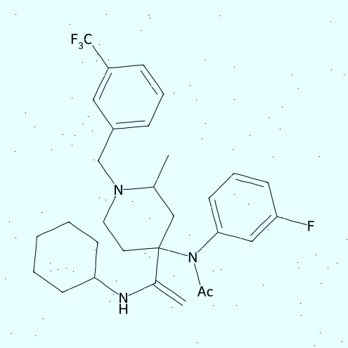 C=C(NC1CCCCC1)C1(N(C(C)=O)c2cccc(F)c2)CCN(Cc2cccc(C(F)(F)F)c2)C(C)C1